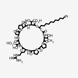 CC(C)CCCCCCCCCCC1CC(=O)NC(C(C)O)C(=O)N2CCCC2C(=O)N2CCCC2C(=O)NC(CCCNC(=N)N)C(=O)NC(C(O)C(=O)O)C(=O)NC(CO)C(=O)N2CCC(O)C2C(=O)NC(C(O)C(=O)O)C(=O)O1